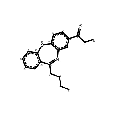 CCCCC1=Nc2cc(C(=O)CC)ccc2Sc2ccccc21